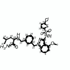 COc1cccc2c1c(NS(=O)(=O)c1ccc(Cl)s1)nn2Cc1cccc(CN[C@H](CC(C)C)C(N)=O)c1